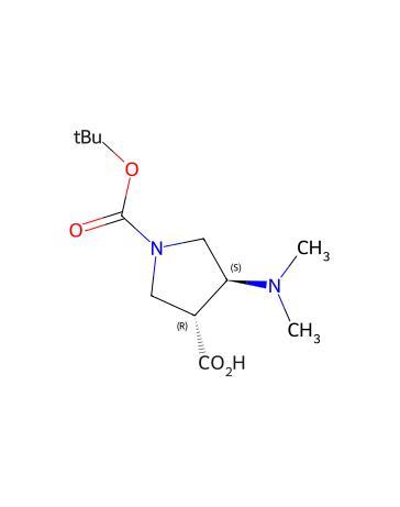 CN(C)[C@@H]1CN(C(=O)OC(C)(C)C)C[C@H]1C(=O)O